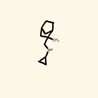 CC1(CNC2CC2)CC2CCC1C2